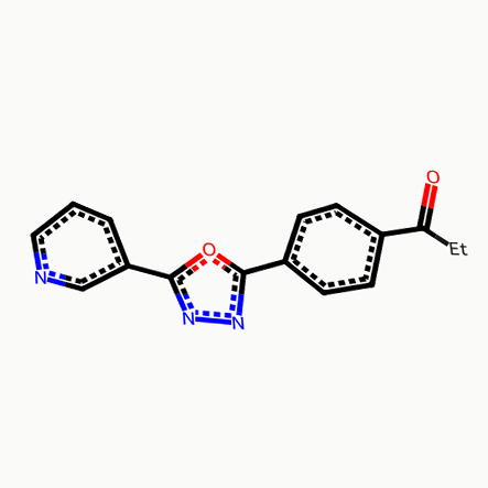 CCC(=O)c1ccc(-c2nnc(-c3cccnc3)o2)cc1